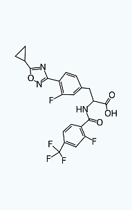 O=C(NC(Cc1ccc(-c2noc(C3CC3)n2)c(F)c1)C(=O)O)c1ccc(C(F)(F)F)cc1F